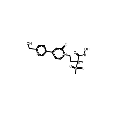 C[C@@](CCn1ccc(-c2ccc(CO)nc2)cc1=O)(C(=O)NO)S(C)(=O)=O